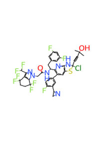 CC(C)(O)C#CC1(Cl)Nc2nc(C(Cc3cc(F)cc(F)c3)NC(=O)Cn3nc(C(F)F)c4c3C(F)(F)CCC4(F)F)c(-c3ccc(F)c(C4=NC4)c3)cc2S1